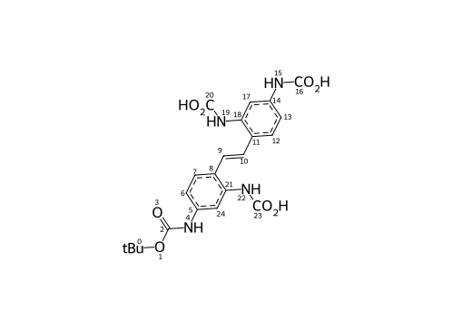 CC(C)(C)OC(=O)Nc1ccc(/C=C/c2ccc(NC(=O)O)cc2NC(=O)O)c(NC(=O)O)c1